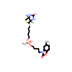 Cc1ccc2oc(=O)n(CCCCOP(C)(=O)OCCCCC[C@@H]3SC[C@@H]4NC(=O)N[C@@H]43)c2c1